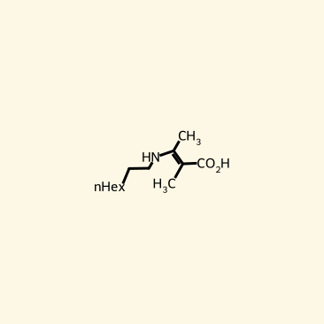 CCCCCCCCNC(C)=C(C)C(=O)O